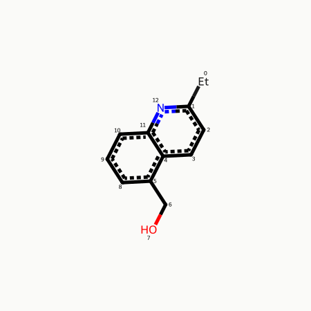 CCc1ccc2c(CO)cccc2n1